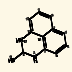 SC1Nc2cccc3cccc(c23)N1